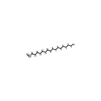 CCCCCCCCCCCCCCCC[CH]OC